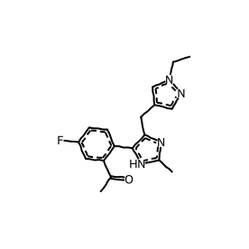 CCn1cc(Cc2nc(C)[nH]c2-c2ccc(F)cc2C(C)=O)cn1